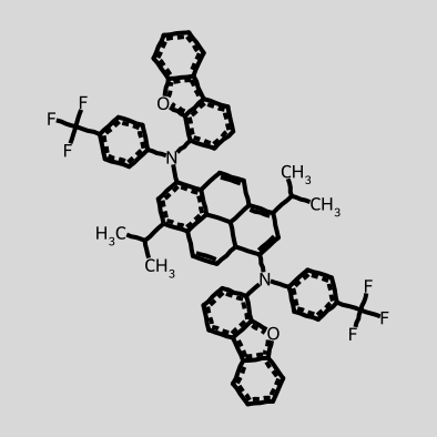 CC(C)C1=C2C=Cc3c(N(c4ccc(C(F)(F)F)cc4)c4cccc5c4oc4ccccc45)cc(C(C)C)c4c3C2C(C=C4)C(N(c2ccc(C(F)(F)F)cc2)c2cccc3c2oc2ccccc23)=C1